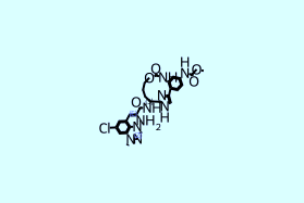 C=N/N=C\N(N)c1ccc(Cl)cc1/C=C/C(=O)N[C@H]1CCCOC(=O)Nc2cc(NC(=O)OC)ccc2-c2c[nH]c1n2